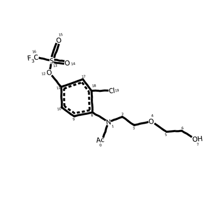 CC(=O)N(CCOCCO)c1ccc(OS(=O)(=O)C(F)(F)F)cc1Cl